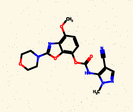 COc1ccc(OC(=O)Nc2c(C#N)cnn2C)c2oc(N3CCOCC3)nc12